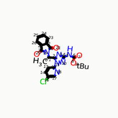 CC(c1nc(NC(=O)OC(C)(C)C)nn1-c1ccc(Cl)cn1)N1C(=O)c2ccccc2C1=O